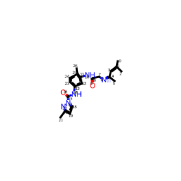 CC(C)=C/C(C)=N\CC(=O)Nc1cc(NC(=O)n2ccc(C)n2)ccc1C